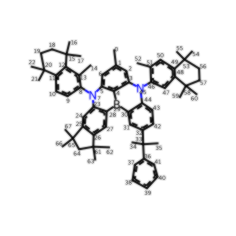 Cc1cc2c3c(c1)N(c1ccc4c(c1C)C(C)(C)CCC4(C)C)c1cc4c(cc1B3c1cc(C(C)(C)c3ccccc3)ccc1N2c1cc2c(cc1C)C(C)(C)CCC2(C)C)C(C)(C)CC4(C)C